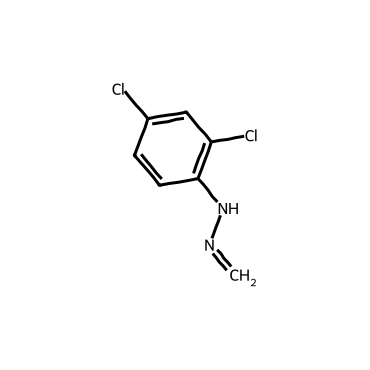 C=NNc1ccc(Cl)cc1Cl